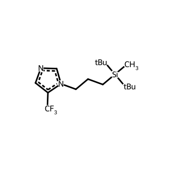 CC(C)(C)[Si](C)(CCCn1cncc1C(F)(F)F)C(C)(C)C